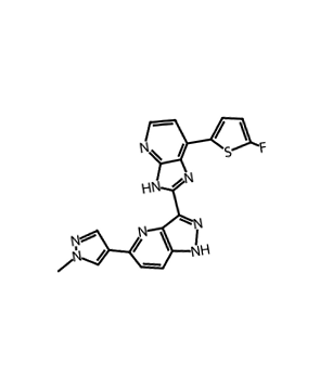 Cn1cc(-c2ccc3[nH]nc(-c4nc5c(-c6ccc(F)s6)ccnc5[nH]4)c3n2)cn1